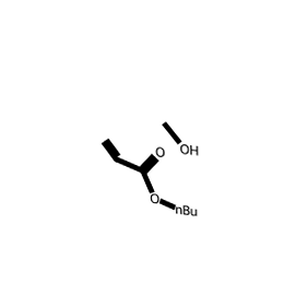 C=CC(=O)OCCCC.CO